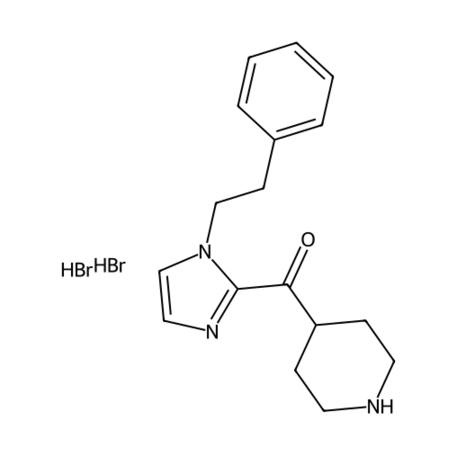 Br.Br.O=C(c1nccn1CCc1ccccc1)C1CCNCC1